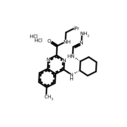 Cc1ccc2nc(C(=O)NCC(C)C)nc(N[C@H]3CCCC[C@H]3NC=NN)c2c1.Cl.Cl